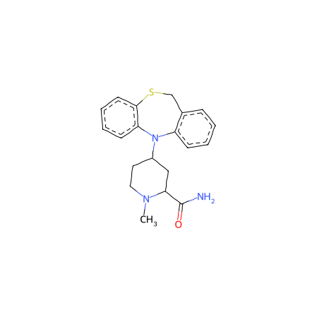 CN1CCC(N2c3ccccc3CSc3ccccc32)CC1C(N)=O